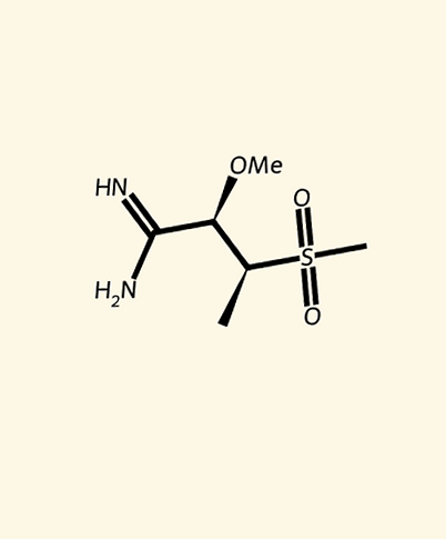 CO[C@H](C(=N)N)[C@H](C)S(C)(=O)=O